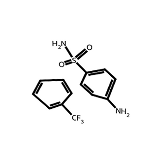 FC(F)(F)c1ccccc1.Nc1ccc(S(N)(=O)=O)cc1